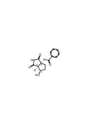 O=C(S[C@]12CC[C@@H](O)[C@H]1C(=O)NC2=O)c1ccccc1